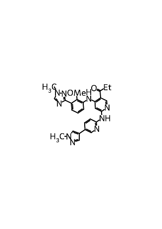 CCC(=O)c1cnc(Nc2ccc(-c3cnn(C)c3)cn2)cc1Nc1cccc(-c2ncn(C)n2)c1OC